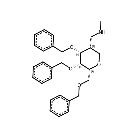 CNC[C@@H]1CO[C@H](COCc2ccccc2)[C@H](OCc2ccccc2)[C@@H]1OCc1ccccc1